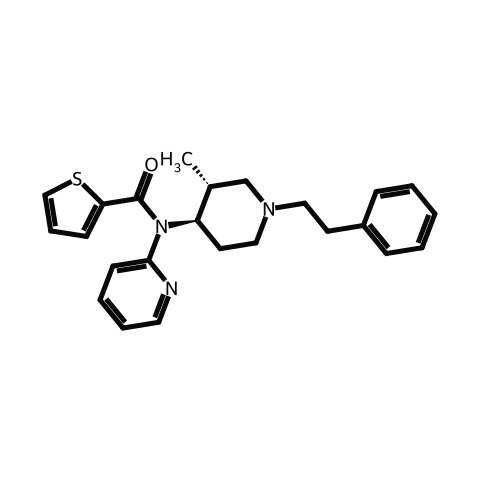 C[C@@H]1CN(CCc2ccccc2)CC[C@H]1N(C(=O)c1cccs1)c1ccccn1